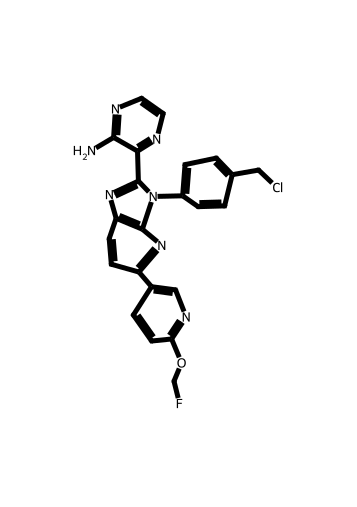 Nc1nccnc1-c1nc2ccc(-c3ccc(OCF)nc3)nc2n1-c1ccc(CCl)cc1